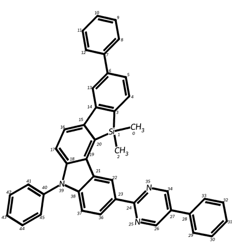 C[Si]1(C)c2ccc(-c3ccccc3)cc2-c2ccc3c(c21)c1cc(-c2ncc(-c4ccccc4)cn2)ccc1n3-c1ccccc1